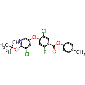 [2H]C(C)(C)Oc1ncc(Oc2cc(F)c(C(=O)Oc3ccc(C)cc3)cc2Cl)cc1Cl